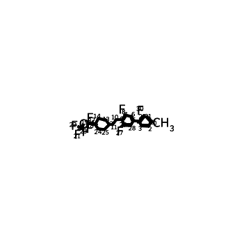 Cc1ccc(-c2cc(F)c(CCC3CCC(C(F)(F)OC(F)(F)F)CC3)c(F)c2)c(F)c1